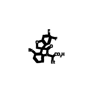 CCC(C(=O)O)N1C(=O)C2(COc3cc(F)c(F)cc32)c2c(Br)cccc21